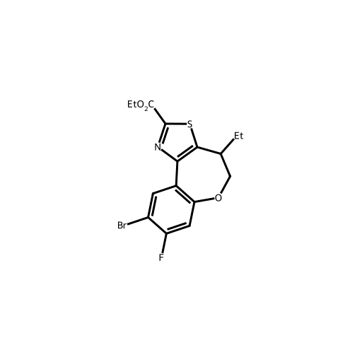 CCOC(=O)c1nc2c(s1)C(CC)COc1cc(F)c(Br)cc1-2